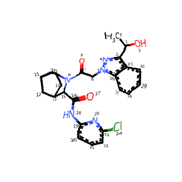 CC(O)c1nn(CC(=O)N2C3CCC(C3)C2C(=O)Nc2cccc(Cl)n2)c2ccccc12